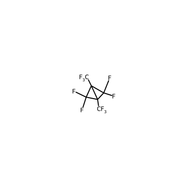 FC(F)(F)C12C(F)(F)C1(C(F)(F)F)C2(F)F